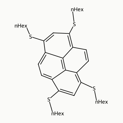 CCCCCCSc1cc(SCCCCCC)c2ccc3c(SCCCCCC)cc(SCCCCCC)c4ccc1c2c43